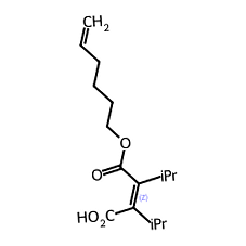 C=CCCCCOC(=O)/C(=C(\C(=O)O)C(C)C)C(C)C